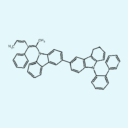 C/C=C\C(=C(/C)n1c2ccccc2c2cc(-c3ccc4c(c3)c3c(n4-c4ccccc4-c4ccccc4)C=CCC3)ccc21)c1ccccc1